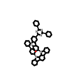 c1ccc(-c2ccc(-n3c4ccccc4c4ccc5c6ccccc6n(-c6ccc7oc8ccc(-c9nc(-c%10ccccc%10)nc(-c%10ccccc%10)n9)cc8c7c6)c5c43)cc2)cc1